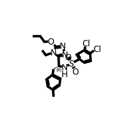 CCCOc1nnc([C@@H](Cc2ccc(C)cc2)NS(=O)(=O)c2ccc(Cl)c(Cl)c2)n1CC